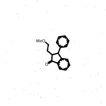 COCCC1C(=O)c2ccccc2C1c1ccccc1